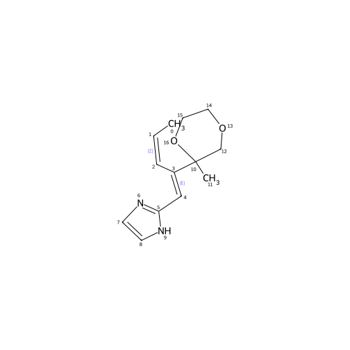 C/C=C\C(=C/c1ncc[nH]1)C1(C)COCCO1